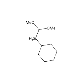 COC(OC)[SiH2]C1CCCCC1